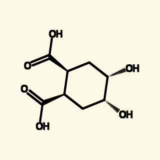 O=C(O)[C@H]1C[C@H](O)[C@H](O)C[C@H]1C(=O)O